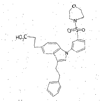 O=C(O)CCc1ccc2c(c1)c(CCc1ccccc1)cn2-c1cccc(S(=O)(=O)N2CCOCC2)c1